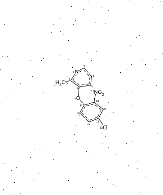 Cc1ncccc1Oc1ccc(Cl)cc1[N+](=O)[O-]